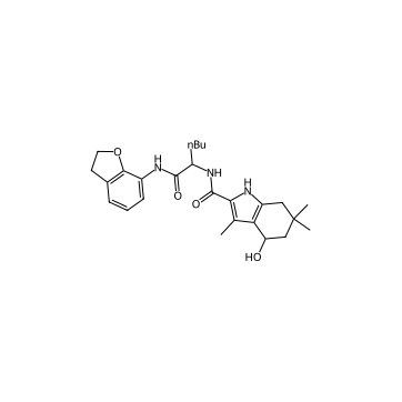 CCCCC(NC(=O)c1[nH]c2c(c1C)C(O)CC(C)(C)C2)C(=O)Nc1cccc2c1OCC2